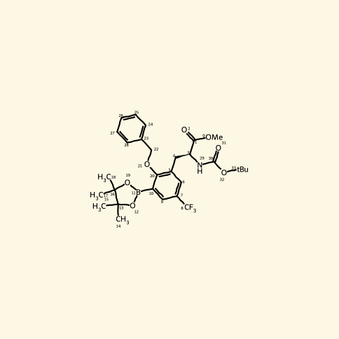 COC(=O)[C@H](Cc1cc(C(F)(F)F)cc(B2OC(C)(C)C(C)(C)O2)c1OCc1ccccc1)NC(=O)OC(C)(C)C